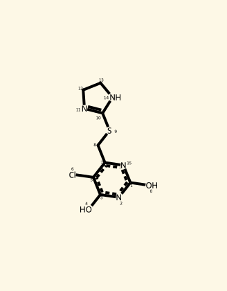 Oc1nc(O)c(Cl)c(CSC2=NCCN2)n1